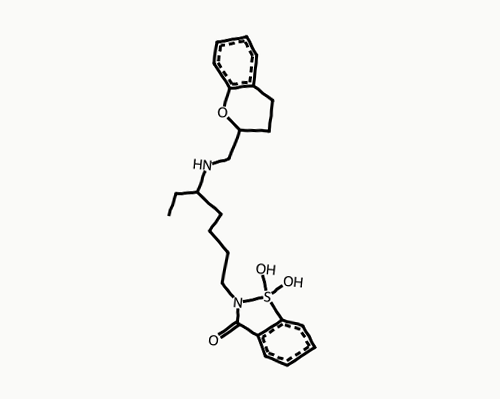 CCC(CCCCN1C(=O)c2ccccc2S1(O)O)NCC1CCc2ccccc2O1